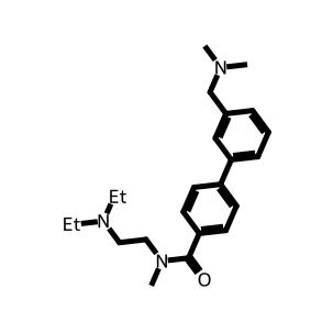 CCN(CC)CCN(C)C(=O)c1ccc(-c2cccc(CN(C)C)c2)cc1